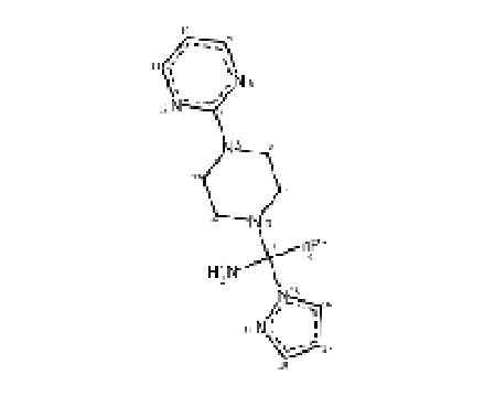 [CH2]CCC(N)(N1CCN(c2ncccn2)CC1)n1cccn1